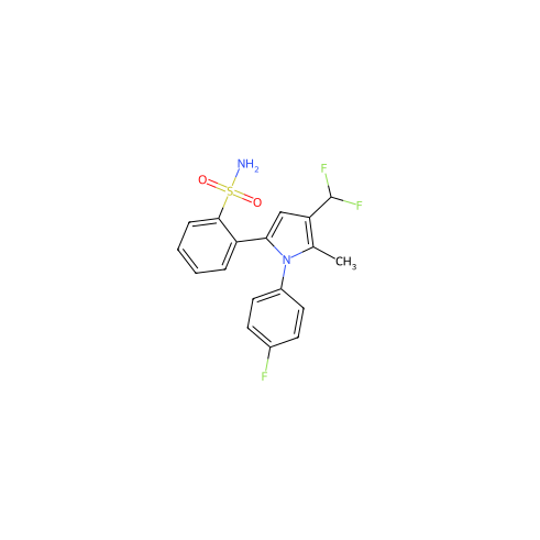 Cc1c(C(F)F)cc(-c2ccccc2S(N)(=O)=O)n1-c1ccc(F)cc1